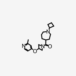 Cc1cc(OC2CN(C(=O)C3CCCN(C4CCC4)CC3)C2)ccn1